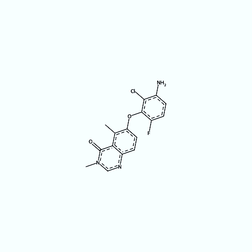 Cc1c(Oc2c(F)ccc(N)c2Cl)ccc2ncn(C)c(=O)c12